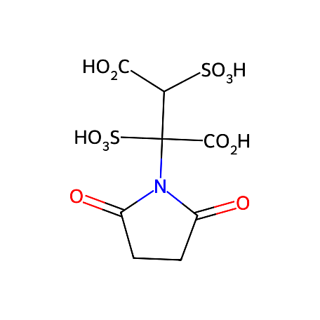 O=C(O)C(C(C(=O)O)(N1C(=O)CCC1=O)S(=O)(=O)O)S(=O)(=O)O